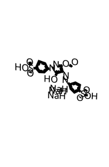 O=COc1nn(-c2ccc(S(=O)(=O)O)cc2)c(O)c1N=Nc1ccc(S(=O)(=O)O)cc1.[NaH].[NaH].[NaH]